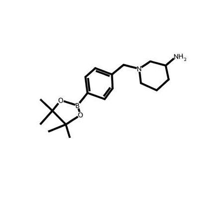 CC1(C)OB(c2ccc(CN3CCCC(N)C3)cc2)OC1(C)C